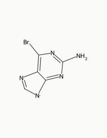 Nc1nc(Br)c2c(n1)[N]C=N2